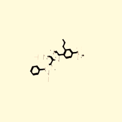 CCCc1cc(C(=O)N(C)C)ccc1-c1cnc(N)c(C(=N)SC(=N)c2ccccc2)n1